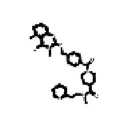 Cc1cccc2nc(SCc3ccc(C(=O)N4CCC(C(=O)N(C)CCc5ccccn5)CC4)cc3)n(C)c(=O)c12